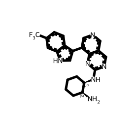 N[C@H]1CCCC[C@H]1Nc1ncc2cncc(-c3c[nH]c4cc(C(F)(F)F)ccc34)c2n1